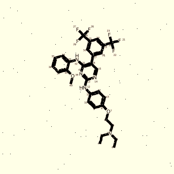 CCN(CC)CCOc1ccc(Nc2ncc(-c3cc(C(F)(F)F)cc(C(F)(F)F)c3)c(Nc3ccccc3OC)n2)cc1